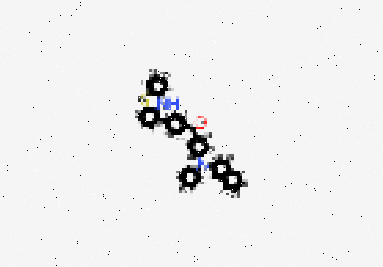 O=C(c1ccc(-c2cccc3c2Nc2ccccc2S3)cc1)c1ccc(N(c2ccccc2)c2ccc3ccccc3c2)cc1